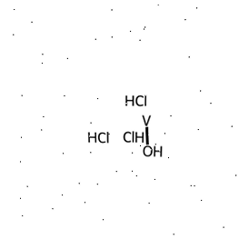 Cl.Cl.Cl.[OH][V]